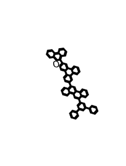 c1ccc(-c2cc(-c3ccccc3)cc(-c3cc4c5ccccc5c(-c5ccc6c(c5)c5ccccc5c5cc7c(cc65)oc5c6ccccc6c6ccccc6c75)cc4c4ccccc34)c2)cc1